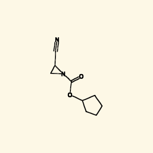 N#CC1CN1C(=O)OC1CCCC1